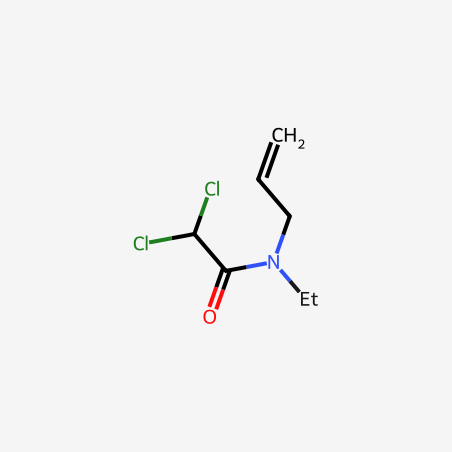 C=CCN(CC)C(=O)C(Cl)Cl